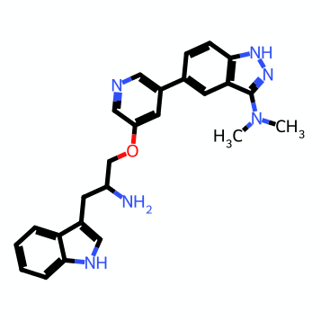 CN(C)c1n[nH]c2ccc(-c3cncc(OCC(N)Cc4c[nH]c5ccccc45)c3)cc12